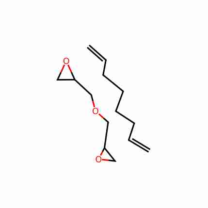 C(OCC1CO1)C1CO1.C=CCCCCC=C